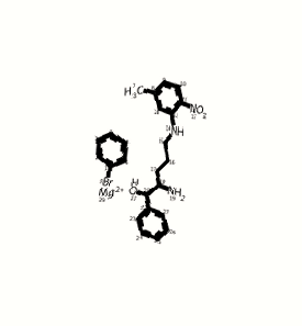 Brc1ccccc1.Cc1ccc([N+](=O)[O-])c(NCCCC(N)C(O)c2ccccc2)c1.[Mg+2]